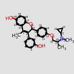 CC1=C(c2cccc(O)c2)C(c2ccc(OC[C@H](C)N(C)C3CC3)cc2)Oc2ccc(O)cc21